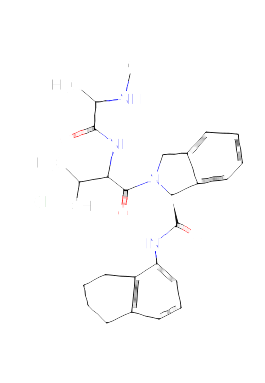 CNC(C)C(=O)NC(C(=O)N1Cc2ccccc2[C@H]1C(=O)Nc1cccc2c1CCCC2)C(C)C.Cl